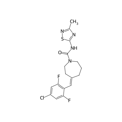 Cc1nsc(NC(=O)N2CCC/C(=C/c3c(F)cc(Cl)cc3F)CC2)n1